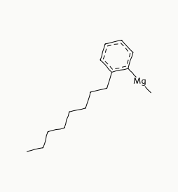 CCCCCCCCc1cccc[c]1[Mg][CH3]